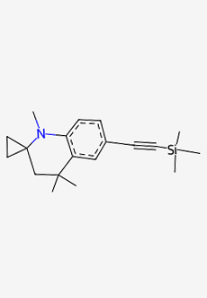 CN1c2ccc(C#C[Si](C)(C)C)cc2C(C)(C)CC12CC2